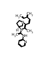 C=CC(=C)/C=C\C1=C(C)N(C(=C)Nc2ccccn2)[C@H]2CCN1C2